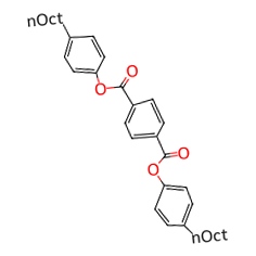 CCCCCCCCc1ccc(OC(=O)c2ccc(C(=O)Oc3ccc(CCCCCCCC)cc3)cc2)cc1